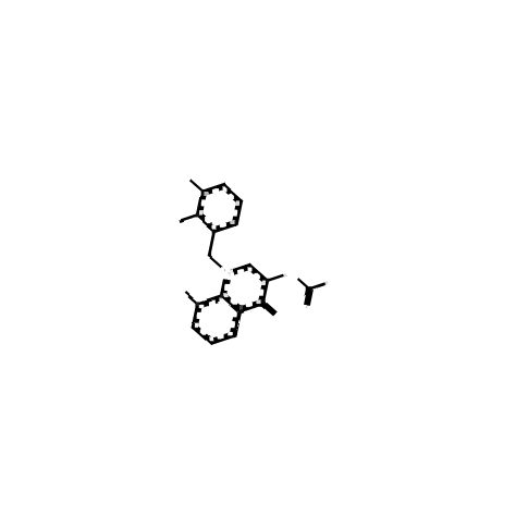 O=C(O)Oc1cn(Cc2cccc(F)c2F)c2c(F)cccc2c1=O